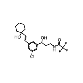 O=C(NCCC(O)c1cc(Cl)cc(/C=C/C2(O)CCCCC2)c1)C(F)(F)F